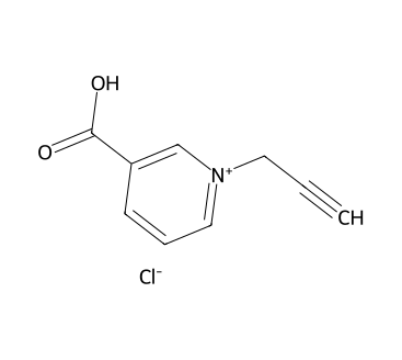 C#CC[n+]1cccc(C(=O)O)c1.[Cl-]